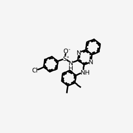 Cc1cccc(Nc2nc3ccccc3nc2N[S+]([O-])c2ccc(Cl)cc2)c1C